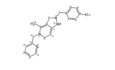 CC1=C2CN(Cc3ccc(Cl)cc3)NC2=CCN1Cc1ccccn1